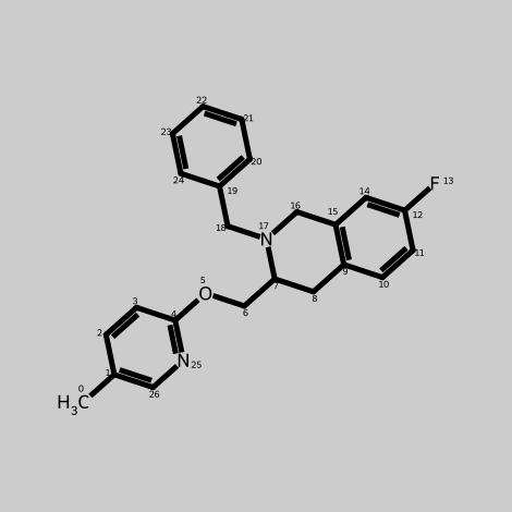 Cc1ccc(OCC2Cc3ccc(F)cc3CN2Cc2ccccc2)nc1